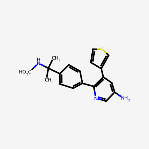 CC(C)(NC(=O)O)c1ccc(-c2ncc(N)cc2-c2ccsc2)cc1